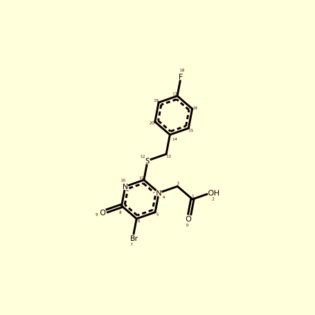 O=C(O)Cn1cc(Br)c(=O)nc1SCc1ccc(F)cc1